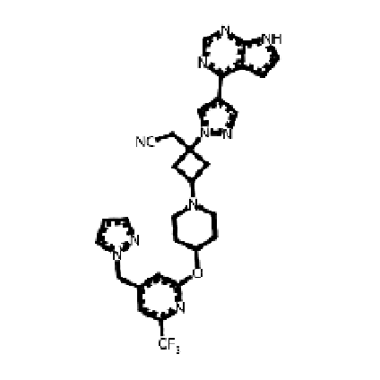 N#CCC1(n2cc(-c3ncnc4[nH]ccc34)cn2)CC(N2CCC(Oc3cc(Cn4cccn4)cc(C(F)(F)F)n3)CC2)C1